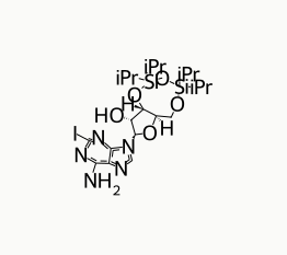 CC(C)[Si]1(C(C)C)OC[C@H]2O[C@@H](n3cnc4c(N)nc(I)nc43)[C@H](O)[C@@H]2O[Si](C(C)C)(C(C)C)O1